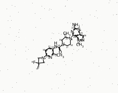 Cc1nc(N2CC(F)(F)C2)ccc1NC(=O)N1CCN(c2nc(N)nc3cnn(C)c23)[C@@H](C)C1